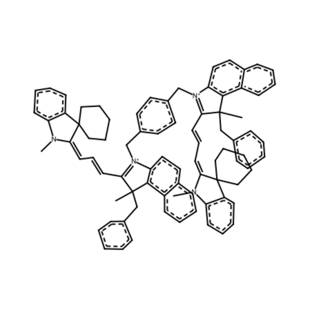 CN1/C(=C/C=C/C2=[N+](Cc3ccc(C[N+]4=C(/C=C/C=C5/N(C)c6ccccc6C56CCCCC6)C(C)(Cc5ccccc5)c5c4ccc4ccccc54)cc3)c3ccc4ccccc4c3C2(C)Cc2ccccc2)C2(CCCCC2)c2ccccc21